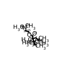 CCC(C)(C)C(C)(CC(C)(C)C)C(=O)OCCN(C)C